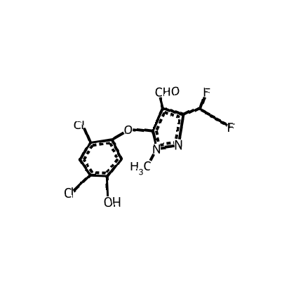 Cn1nc(C(F)F)c(C=O)c1Oc1cc(O)c(Cl)cc1Cl